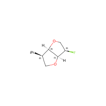 CC(C)[C@@H]1CO[C@H]2[C@@H]1OC[C@H]2F